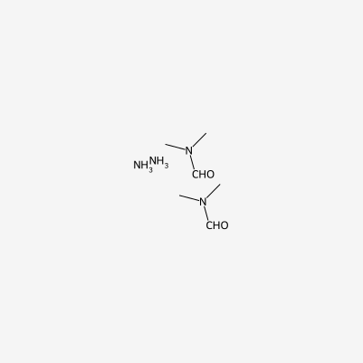 CN(C)C=O.CN(C)C=O.N.N